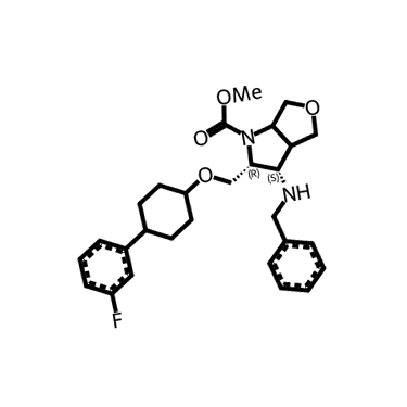 COC(=O)N1C2COCC2[C@H](NCc2ccccc2)[C@@H]1COC1CCC(c2cccc(F)c2)CC1